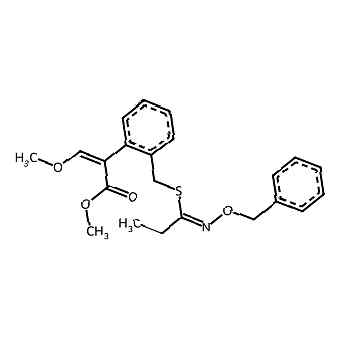 CCC(=NOCc1ccccc1)SCc1ccccc1C(=COC)C(=O)OC